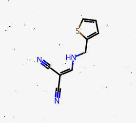 N#CC(C#N)=CNCc1cccs1